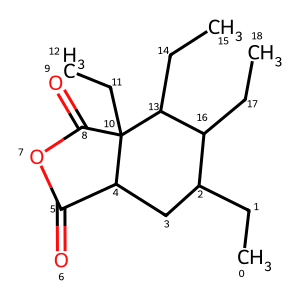 CCC1CC2C(=O)OC(=O)C2(CC)C(CC)C1CC